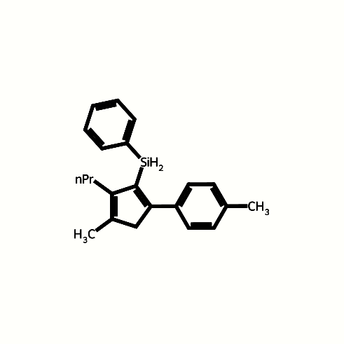 CCCC1=C(C)CC(c2ccc(C)cc2)=C1[SiH2]c1ccccc1